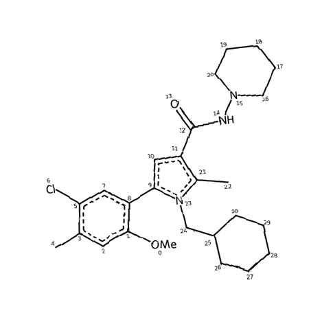 COc1cc(C)c(Cl)cc1-c1cc(C(=O)NN2CCCCC2)c(C)n1CC1CCCCC1